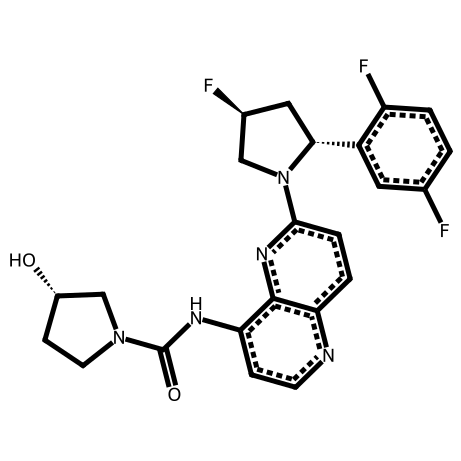 O=C(Nc1ccnc2ccc(N3C[C@@H](F)C[C@@H]3c3cc(F)ccc3F)nc12)N1CC[C@H](O)C1